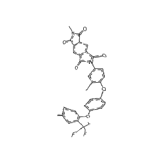 Cc1ccc(Oc2ccc(Oc3ccc(-n4c(=O)c5cc6c(=O)n(C)c(=O)c6cc5c4=O)cc3C)cc2)c(C(F)(F)F)c1